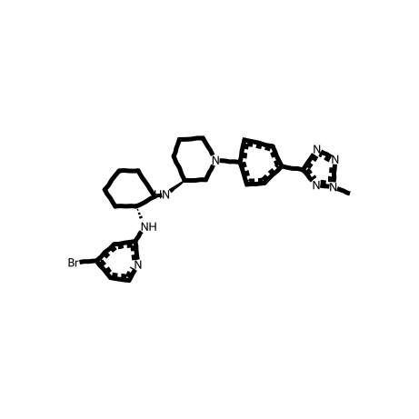 Cn1nnc(-c2ccc(N3CCC[C@H](N[C@@H]4CCCC[C@H]4Nc4cc(Br)ccn4)C3)cc2)n1